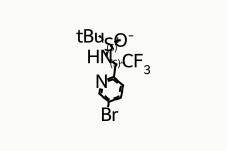 CC(C)(C)[S@@+]([O-])N[C@@H](c1ccc(Br)cn1)C(F)(F)F